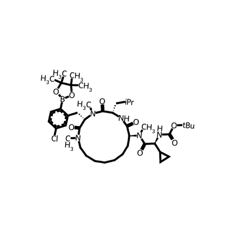 CC(C)C[C@@H]1NC(=O)[C@@H](N(C)C(=O)[C@@H](NC(=O)OC(C)(C)C)C2CC2)CCCCCCCN(C)C(=O)[C@H](Cc2cc(Cl)ccc2B2OC(C)(C)C(C)(C)O2)N(C)C1=O